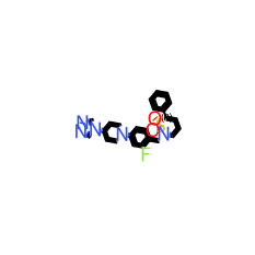 O=S1(=O)[C@@H](c2ccccc2)CCCN1Cc1ccc(N2CCC(n3cnnc3)CC2)cc1F